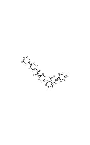 O=C(Nc1ccc(N2CCOCC2)cc1)N1CCC(c2ncnc3cc(N4CCC(F)CC4)ccc23)CC1